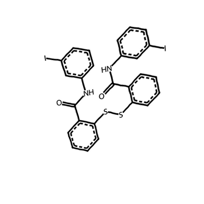 O=C(Nc1cccc(I)c1)c1ccccc1SSc1ccccc1C(=O)Nc1cccc(I)c1